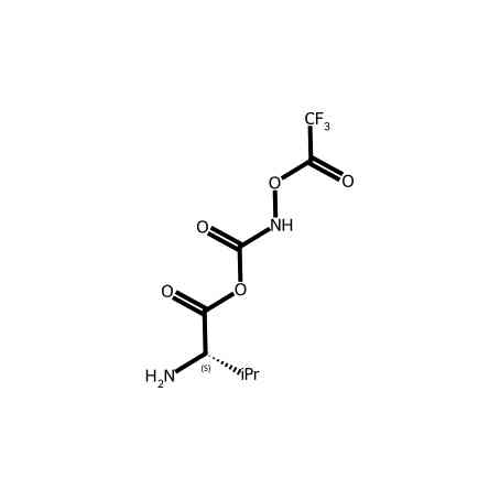 CC(C)[C@H](N)C(=O)OC(=O)NOC(=O)C(F)(F)F